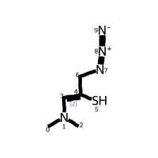 CN(C)/C=C(\S)CN=[N+]=[N-]